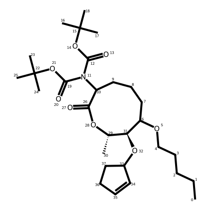 CCCCCOC1CCCC(N(C(=O)OC(C)(C)C)C(=O)OC(C)(C)C)C(=O)O[C@@H](C)[C@@H]1OC1C=CCC1